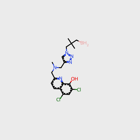 BCC(C)(C)Cn1cc(CN(C)Cc2ccc3c(Cl)cc(Cl)c(O)c3n2)nn1